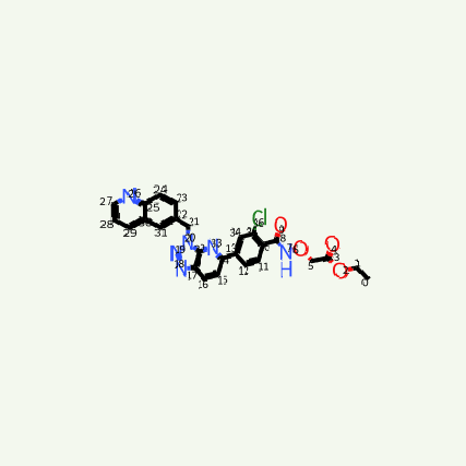 CCOC(=O)CONC(=O)c1ccc(-c2ccc3nnn(Cc4ccc5ncccc5c4)c3n2)cc1Cl